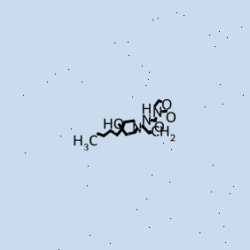 C=CC(NC(=O)N1CCOC1=O)N1CCC(O)(CCCCC)CC1